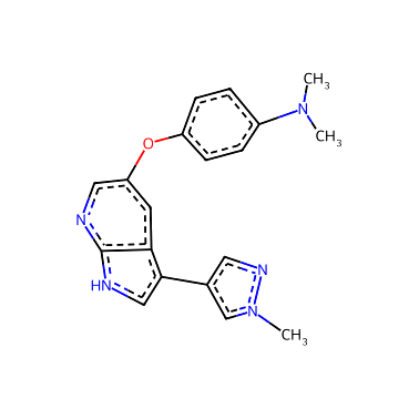 CN(C)c1ccc(Oc2cnc3[nH]cc(-c4cnn(C)c4)c3c2)cc1